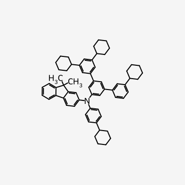 CC1(C)c2ccccc2-c2ccc(N(c3ccc(C4CCCCC4)cc3)c3cc(-c4cccc(C5CCCCC5)c4)cc(-c4cc(C5CCCCC5)cc(C5CCCCC5)c4)c3)cc21